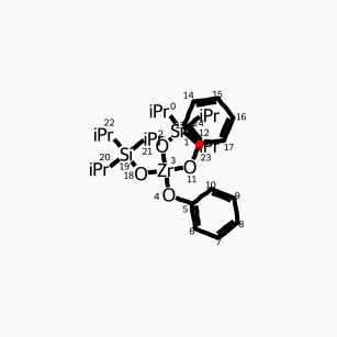 CC(C)[Si]([O][Zr]([O]c1ccccc1)([O]c1ccccc1)[O][Si](C(C)C)(C(C)C)C(C)C)(C(C)C)C(C)C